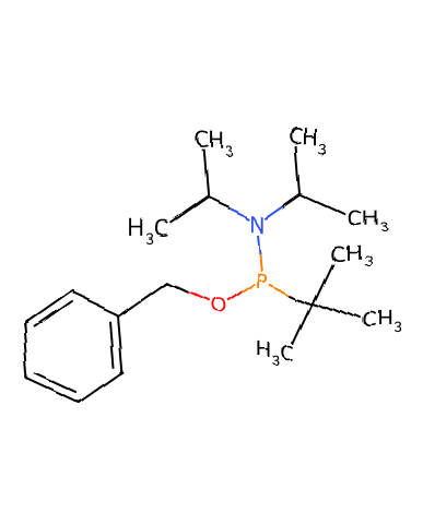 CC(C)N(C(C)C)P(OCc1ccccc1)C(C)(C)C